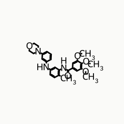 COc1cc(C(=O)Nc2cc(Nc3cccc(N4CCOCC4)c3)ccc2C)cc(OC)c1OC